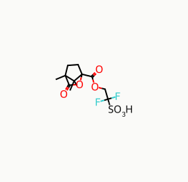 CC12CCC(C(=O)OCC(F)(F)S(=O)(=O)O)(OC1=O)C2(C)C